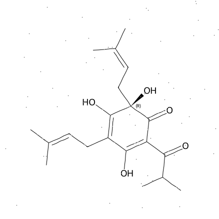 CC(C)=CCC1=C(O)[C@](O)(CC=C(C)C)C(=O)C(C(=O)C(C)C)=C1O